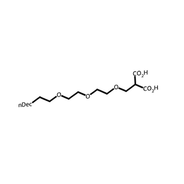 CCCCCCCCCCCCOCCOCCOCC(C(=O)O)C(=O)O